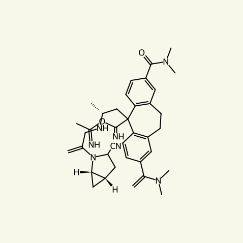 C=C(c1ccc2c(c1)CCc1cc(C(=O)N(C)C)ccc1C2(C[C@@H](C)NCC(=C)N1C(C#N)C[C@@H]2C[C@@H]21)C(=N)OC(C)=N)N(C)C